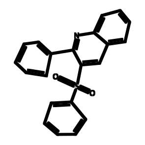 O=S(=O)(c1ccccc1)c1cc2ccccc2nc1-c1ccccc1